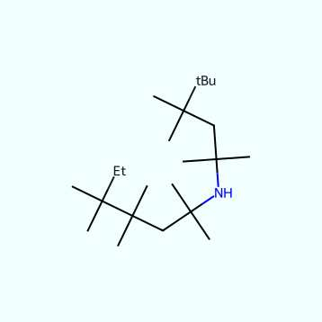 CCC(C)(C)C(C)(C)CC(C)(C)NC(C)(C)CC(C)(C)C(C)(C)C